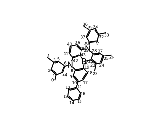 Cc1cc(C)cc(N2c3cc(-c4ccccc4)ccc3B3c4c(C)cc(C)cc4N(c4cc(C)cc(C)c4)c4cccc2c43)c1